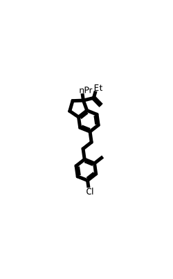 C=C(CC)C1(CCC)CCc2cc(CCc3ccc(Cl)cc3C)ccc21